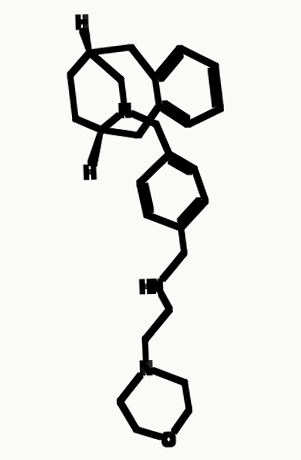 c1ccc2c(c1)C[C@H]1CC[C@@H](C2)N(Cc2ccc(CNCCN3CCOCC3)cc2)C1